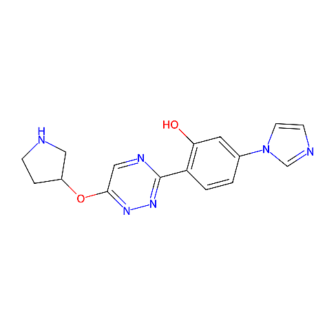 Oc1cc(-n2ccnc2)ccc1-c1ncc(OC2CCNC2)nn1